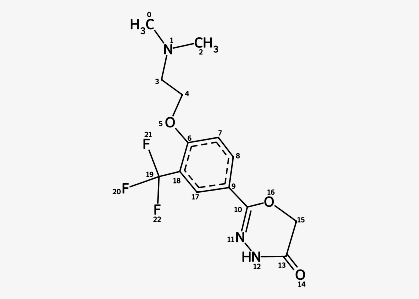 CN(C)CCOc1ccc(C2=NNC(=O)CO2)cc1C(F)(F)F